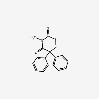 CN1C(=O)SCC(c2ccccc2)(c2ccccc2)C1=O